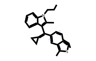 CCC/C=C\C(=C/c1ccsc1C)C(=C1CC1)c1c(C)n(CCC)c2ccccc12